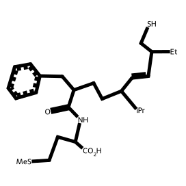 CCC(/C=C/C(CCC(Cc1ccccc1)C(=O)NC(CCSC)C(=O)O)C(C)C)CS